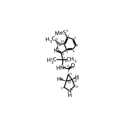 CSc1cccc2c(C(C)(C)NC(=O)[C@@H]3[C@@H]4CNC[C@@H]43)nn(C)c12